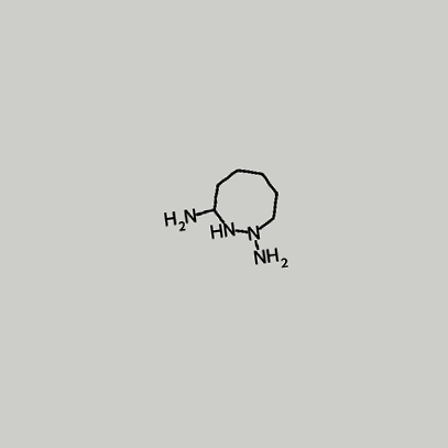 NC1CCCCCN(N)N1